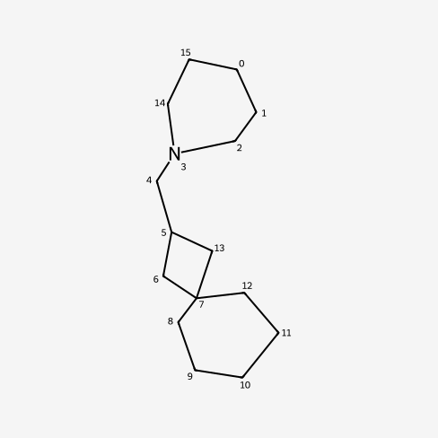 C1CCN(CC2CC3(CCCCC3)C2)CC1